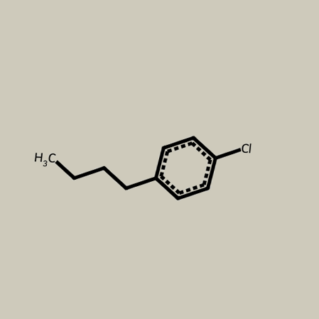 CCCCc1ccc(Cl)cc1